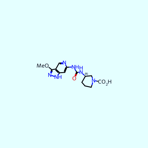 COc1n[nH]c2cc(NC(=O)N[C@@H]3CCCN(C(=O)O)C3)ncc12